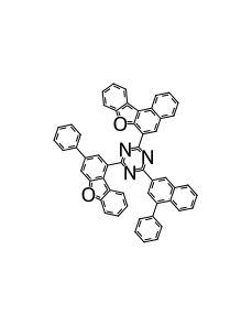 c1ccc(-c2cc(-c3nc(-c4cc(-c5ccccc5)c5ccccc5c4)nc(-c4cc5ccccc5c5c4oc4ccccc45)n3)c3c(c2)oc2ccccc23)cc1